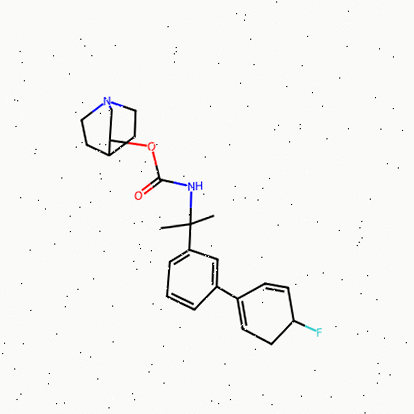 CC(C)(NC(=O)OC1CN2CCC1CC2)c1cccc(C2=CCC(F)C=C2)c1